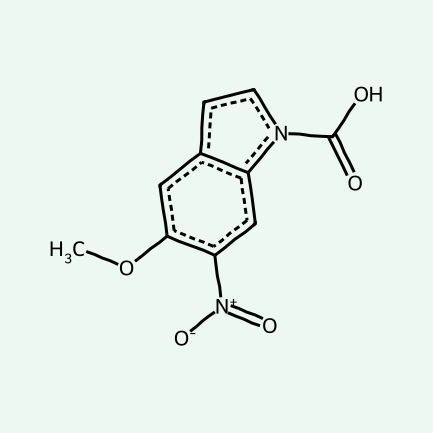 COc1cc2ccn(C(=O)O)c2cc1[N+](=O)[O-]